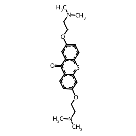 CN(C)CCOc1ccc2c(=O)c3cc(OCCN(C)C)ccc3sc2c1